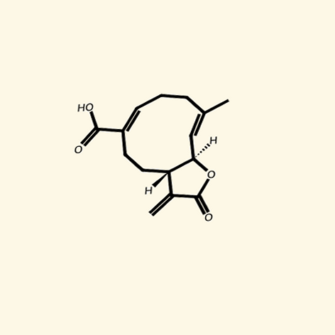 C=C1C(=O)O[C@@H]2/C=C(\C)CC/C=C(/C(=O)O)CC[C@@H]12